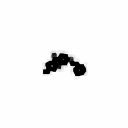 CCC1CCc2c(sc3cc(OCCc4ccccc4)ccc3c2=O)C1